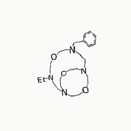 CCN1CCOCCN(Cc2ccccc2)CCN2CCOCCN(CCOCC2)CC1